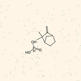 C=C1C2CCC(C2)C1(C)C.O=[PH](O)O